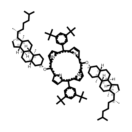 CC(C)CCC[C@@H](C)[C@H]1CC[C@H]2[C@@H]3CC[C@H]4C[C@@H](Oc5c6nc(c(-c7cc(C(C)(C)C)cc(C(C)(C)C)c7)c7ccc([nH]7)c(O[C@H]7CC[C@@]8(C)[C@@H](CC[C@@H]9[C@@H]8CC[C@]8(C)[C@@H]([C@H](C)CCCC(C)C)CC[C@@H]98)C7)c7nc(c(-c8cc(C(C)(C)C)cc(C(C)(C)C)c8)c8ccc5[nH]8)C=C7)C=C6)CC[C@]4(C)[C@H]3CC[C@]12C